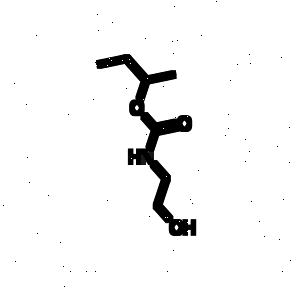 CCC(C)OC(=O)NCCO